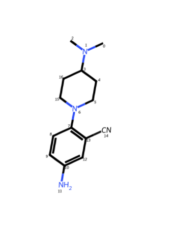 CN(C)C1CCN(c2ccc(N)cc2C#N)CC1